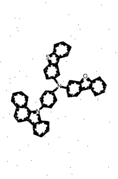 c1ccc2c(c1)ccc1c3ccccc3n(-c3ccc(N(c4ccc5c(c4)oc4ccccc45)c4ccc5sc6ccccc6c5c4)cc3)c21